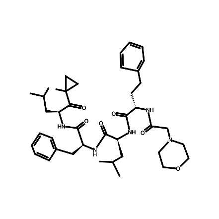 CC(C)C[C@H](NC(=O)[C@H](CCc1ccccc1)NC(=O)CN1CCOCC1)C(=O)N[C@@H](Cc1ccccc1)C(=O)N[C@@H](CC(C)C)C(=O)C1(C)CC1